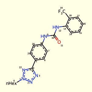 CCCCCCn1nnc(-c2ccc(NC(=O)Nc3ccccc3C(F)(F)F)cc2)n1